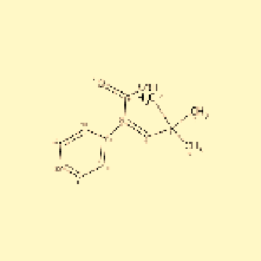 CC(C)(C)C=C(C(=O)O)c1ccccc1